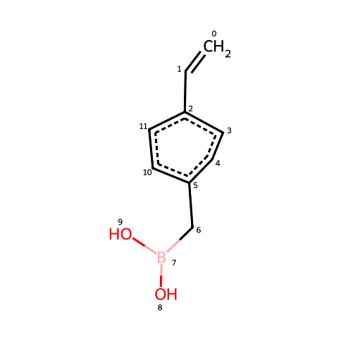 C=Cc1ccc(CB(O)O)cc1